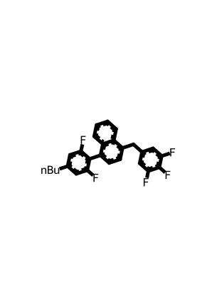 CCCCc1cc(F)c(-c2ccc(Cc3cc(F)c(F)c(F)c3)c3ccccc23)c(F)c1